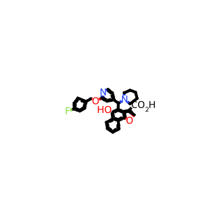 O=C(O)c1coc2c1c(C(c1ccnc(OCc3ccc(F)cc3)c1)N1CCCCC1)c(O)c1ccccc12